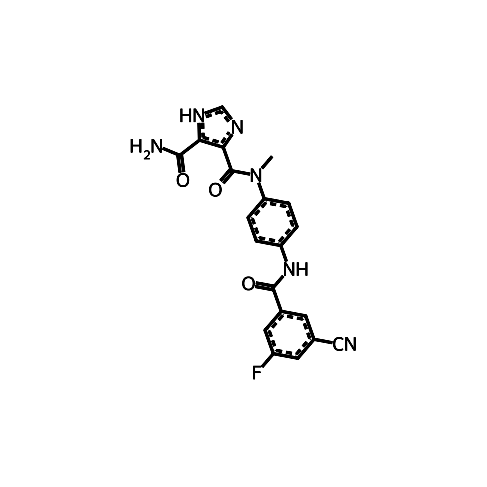 CN(C(=O)c1nc[nH]c1C(N)=O)c1ccc(NC(=O)c2cc(F)cc(C#N)c2)cc1